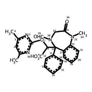 Cc1cc(C)nc(OC(C(=O)O)C2(c3ccccc3)c3ccccc3N(C)C(=O)CN2C=O)n1